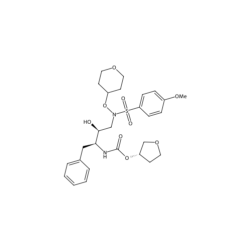 COc1ccc(S(=O)(=O)N(C[C@H](O)[C@H](Cc2ccccc2)NC(=O)O[C@H]2CCOC2)OC2CCOCC2)cc1